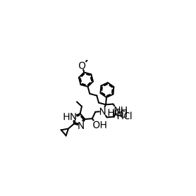 CCc1[nH]c(C2CC2)nc1C(O)CN1CCNCC1(CCCc1ccc(OC)cc1)c1ccccc1.Cl.Cl.Cl